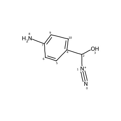 N#[N+]C(O)c1ccc(N)cc1